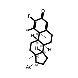 CC(=O)[C@H]1CC[C@H]2[C@@H]3CCC4=CC(=O)C(F)=C(F)[C@]4(C)[C@H]3CC[C@]12C